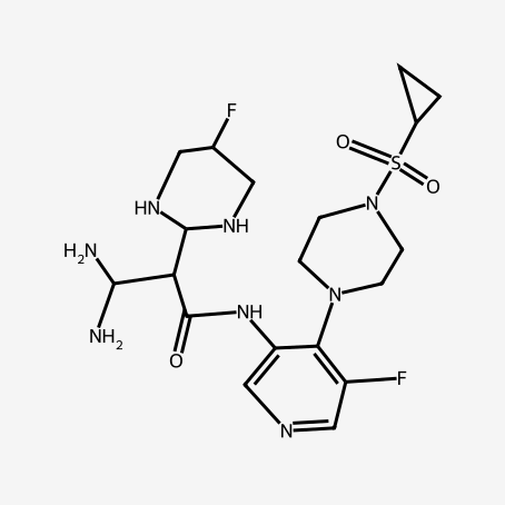 NC(N)C(C(=O)Nc1cncc(F)c1N1CCN(S(=O)(=O)C2CC2)CC1)C1NCC(F)CN1